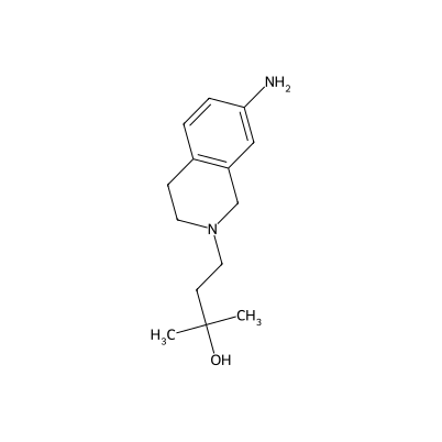 CC(C)(O)CCN1CCc2ccc(N)cc2C1